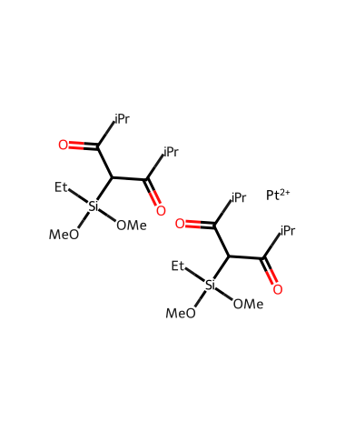 CC[Si](OC)(OC)C(C(=O)C(C)C)C(=O)C(C)C.CC[Si](OC)(OC)C(C(=O)C(C)C)C(=O)C(C)C.[Pt+2]